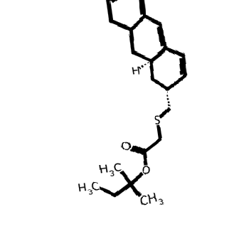 CCC(C)(C)OC(=O)CSC[C@H]1C=CC2=CC3=CC=CCC3C[C@@H]2C1